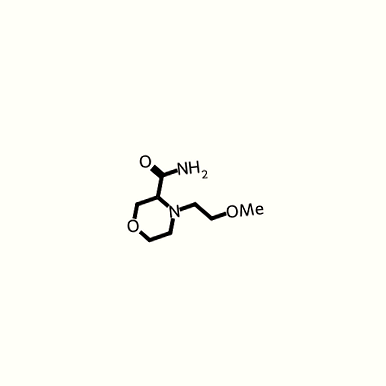 COCCN1CCOCC1C(N)=O